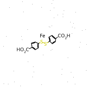 O=C(O)c1ccc(SSc2ccc(C(=O)O)cc2)cc1.[Fe]